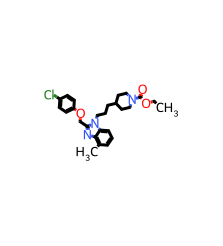 CCOC(=O)N1CCC(CCCn2c(COc3ccc(Cl)cc3)nc3c(C)cccc32)CC1